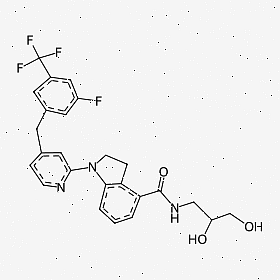 O=C(NCC(O)CO)c1cccc2c1CCN2c1cc(Cc2cc(F)cc(C(F)(F)F)c2)ccn1